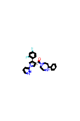 O=C([C@@H]1CN(c2cccnn2)C[C@H]1c1ccc(F)cc1F)N1CCNC(c2ccccc2)CC1